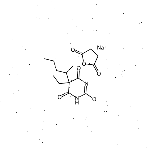 CCCC(C)C1(CC)C(=O)N=C([O-])NC1=O.O=C1CCC(=O)O1.[Na+]